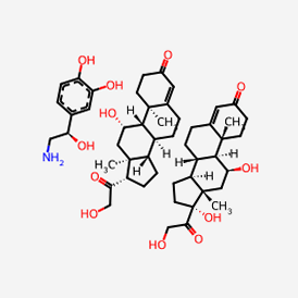 C[C@]12CCC(=O)C=C1CC[C@@H]1[C@@H]2[C@@H](O)C[C@@]2(C)[C@H]1CC[C@]2(O)C(=O)CO.C[C@]12C[C@H](O)[C@H]3[C@@H](CCC4=CC(=O)CC[C@@]43C)[C@@H]1CC[C@@H]2C(=O)CO.NC[C@H](O)c1ccc(O)c(O)c1